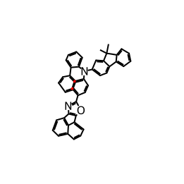 CC1(C)c2ccccc2-c2ccc(N(c3ccc(-c4nc5c(o4)-c4cccc6cccc-5c46)cc3)c3ccccc3-c3ccccc3)cc21